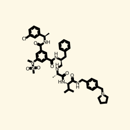 CC(C)[C@H](NC(=O)[C@H](C)NC[C@H](Cc1ccccc1)NC(=O)c1cc(C(=O)N[C@H](C)c2cccc(Cl)c2)cc(N(C)S(C)(=O)=O)c1)C(=O)NCc1ccc(CN2CCCC2)cc1